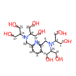 OCC(CO)N(Cc1cccc(CN(C(CO)CO)C(CO)CO)n1)C(CO)CO